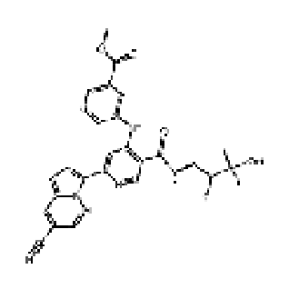 COC(=O)c1cncc(Nc2cc(-c3ccc4cc(C#N)cnn34)ncc2C(=O)NCC(F)C(C)(C)O)c1